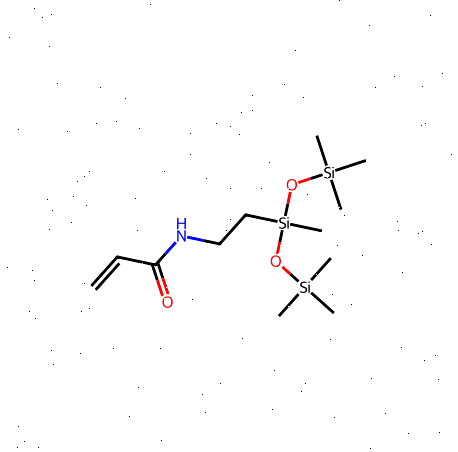 C=CC(=O)NCC[Si](C)(O[Si](C)(C)C)O[Si](C)(C)C